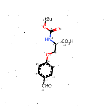 CC(C)(C)OC(=O)N[C@@H](COc1ccc(C=O)cc1)C(=O)O